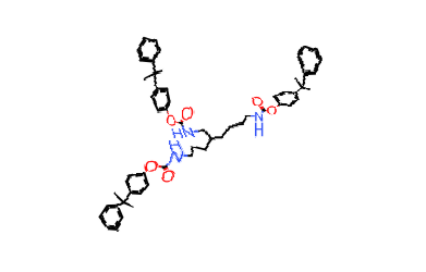 CC(C)(c1ccccc1)c1ccc(OC(=O)NCCCCC(CCCNC(=O)Oc2ccc(C(C)(C)c3ccccc3)cc2)CNC(=O)Oc2ccc(C(C)(C)c3ccccc3)cc2)cc1